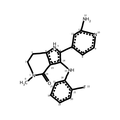 CN1CCc2[nH]c(-c3ccnc(N)c3)c(Nc3ccccc3F)c2C1=O